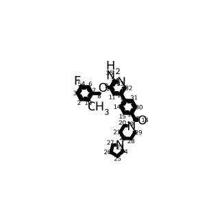 Cc1ccc(F)cc1COc1cc(-c2ccc(C(=O)N3CCC(N4CCCC4)CC3)cc2)cnc1N